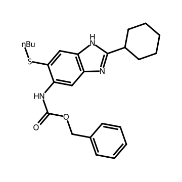 CCCCSc1cc2[nH]c(C3CCCCC3)nc2cc1NC(=O)OCc1ccccc1